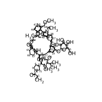 C=CC(=O)N1CC[C@H](C(=O)N(C)C(C(=O)N[C@H]2Cc3cc(OC4O[C@H](CO)[C@@H](O)[C@H](O)[C@H]4O)cc(c3)-c3ccc4c(c3)c(c(-c3cccnc3COC)n4CC)CC(C)(C)COC(=O)[C@@H]3CCCN(N3)C2=O)C(C)C)C1